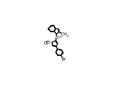 CC1=Cc2ccccc2[CH]1[Zr+2][C]1=CC(c2ccc(Br)cc2)=CC1.[Cl-].[Cl-]